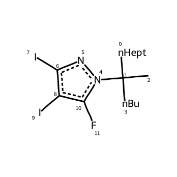 CCCCCCCC(C)(CCCC)n1nc(I)c(I)c1F